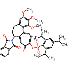 COc1cc2c(c(OC)c1OC)-c1ccc(OS(=O)(=O)c3c(C(C)C)cc(C(C)C)cc3C(C)C)c(=O)cc1C(N1C(=O)c3ccccc3C1=O)CC2